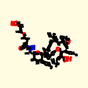 COC(C(C)O)C(C)[C@H]1O[C@]1(C)CC(C)/C=C/C=C(\C)[C@H]1O[C@@H](CNC(=O)C=COCCO)CC[C@@H]1C